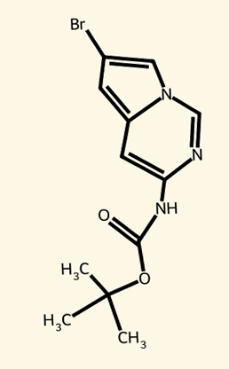 CC(C)(C)OC(=O)Nc1cc2cc(Br)cn2cn1